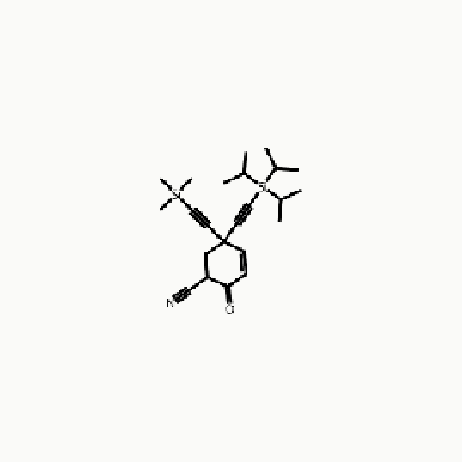 CC(C)[Si](C#CC1(C#C[Si](C)(C)C)C=CC(=O)C(C#N)C1)(C(C)C)C(C)C